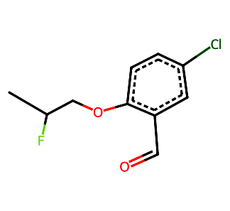 CC(F)COc1ccc(Cl)cc1C=O